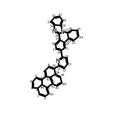 C1=CC2C=CC=C3c4ccc(-c5cccc(-c6ccc7c(c6)c6ccccc6n6c8ccccc8nc76)n5)c5cccc(c45)C(=C1)C32